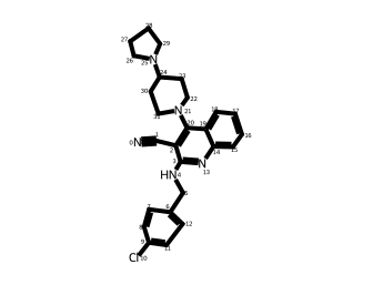 N#Cc1c(NCc2ccc(Cl)cc2)nc2ccccc2c1N1CCC(N2CCCC2)CC1